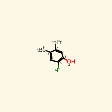 CCCc1cc(O)c(F)cc1C(C)(C)C